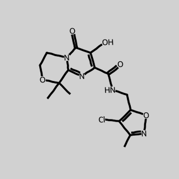 Cc1noc(CNC(=O)c2nc3n(c(=O)c2O)CCOC3(C)C)c1Cl